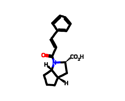 O=C(O)[C@@H]1C[C@@H]2CCC[C@@H]2N1C(=O)/C=C/c1ccccc1